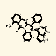 Cc1cccc2nc(C(Nc3ncnc4[nH]ccc34)c3ccccc3)n(-c3ccccc3)c(=O)c12